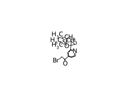 CC(C)(C)[Si](C)(C)OC1(c2cc(C(=O)CBr)ccn2)CC1